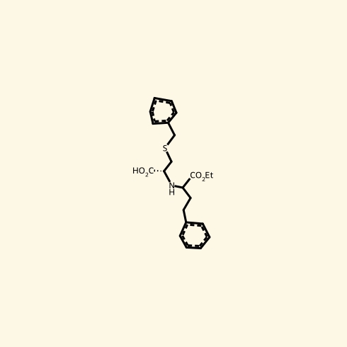 CCOC(=O)C(CCc1ccccc1)N[C@@H](CSCc1ccccc1)C(=O)O